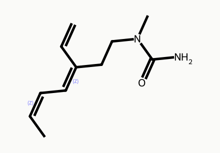 C=C/C(=C\C=C/C)CCN(C)C(N)=O